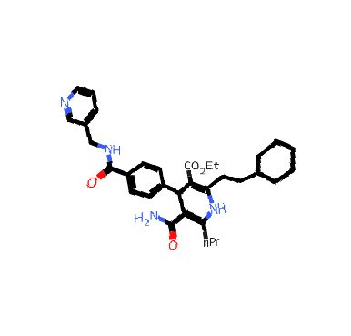 CCCC1=C(C(N)=O)C(c2ccc(C(=O)NCc3cccnc3)cc2)C(C(=O)OCC)=C(CCC2CCCCC2)N1